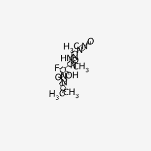 C[C@@H]1CN(C2COC2)CCN1c1ccc(Nc2cc(-c3cc(F)cc(N4CCn5c(cc6c5CC(C)(C)C6)C4=O)c3CO)cn(C)c2=O)nc1